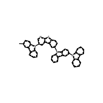 Cc1ccc2c(c1)c1ccccc1n2-c1cnc2sc3ccc(-n4c5ccccc5c5cc(-n6c7ccccc7c7ccccc76)ccc54)cc3c2c1